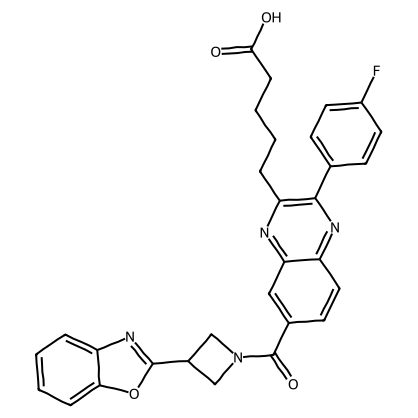 O=C(O)CCCCc1nc2cc(C(=O)N3CC(c4nc5ccccc5o4)C3)ccc2nc1-c1ccc(F)cc1